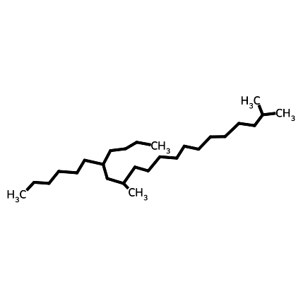 CCCCCCC(CCCC)CC(C)CCCCCCCCCCC(C)C